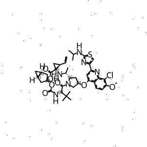 C=CC1C[C@]1(NC(C)[C@@H]1C[C@@H](Oc2cc(-c3csc(NC(C)C)n3)nc3c(Cl)c(OC)ccc23)CN1C(=O)[C@@H](NC(=O)O[C@@H]1C[C@@H]2C[C@@H]2C1)C(C)(C)C)C(=O)O